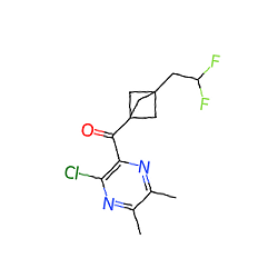 Cc1nc(Cl)c(C(=O)C23CC(CC(F)F)(C2)C3)nc1C